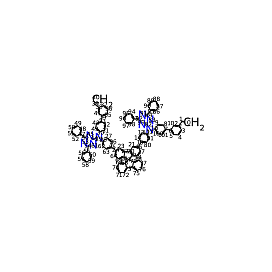 C=Cc1cccc(-c2ccc(N(c3ccc(-c4ccc5c(c4)-c4cc(-c6ccc(N(c7ccc(-c8cccc(C=C)c8)cc7)c7nc(-c8ccccc8)nc(-c8ccccc8)n7)cc6)ccc4C54c5ccccc5-c5ccccc54)cc3)c3nc(-c4ccccc4)nc(-c4ccccc4)n3)cc2)c1